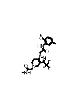 CNC(=O)CN1CCc2c(c(C(F)(F)F)nn2CC(=O)Nc2cc(C)ccc2OC)C1